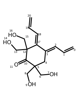 C=CC=C1CC(CO)(CO)C(=O)C(CO)(CO)C1=CC=C